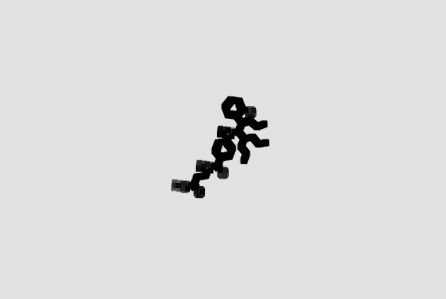 CCCC(CCC)C(Nc1ccc(C(=O)NCCC(=O)O)cc1)c1c(CC)oc2ccccc12